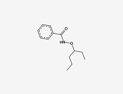 CCCC(CC)ONC(=O)c1ccccc1